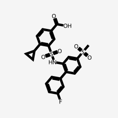 CS(=O)(=O)c1ccc(-c2cccc(F)c2)c(NS(=O)(=O)c2cc(C(=O)O)ccc2C2CC2)c1